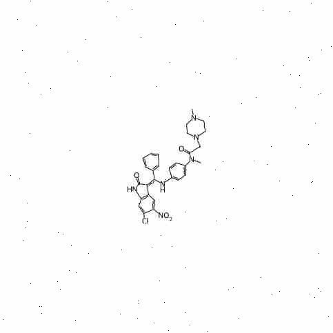 CN1CCN(CC(=O)N(C)c2ccc(NC(=C3C(=O)Nc4cc(Cl)c([N+](=O)[O-])cc43)c3ccccc3)cc2)CC1